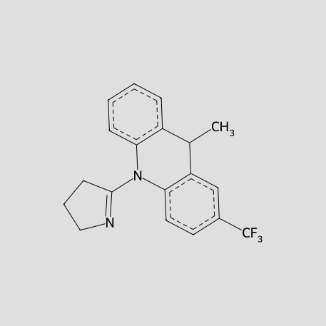 CC1c2ccccc2N(C2=NCCC2)c2ccc(C(F)(F)F)cc21